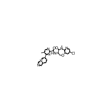 Cc1cnc(C(=O)N[C@H]2COc3cc(Cl)cnc3N(C)C2=O)nc1-c1ccc2cncn2c1